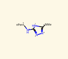 CCCCCNc1nnc(NC)[nH]1